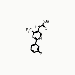 CCCCC(=O)Nc1cnc(-c2cncc(F)c2)nc1C(F)(F)F